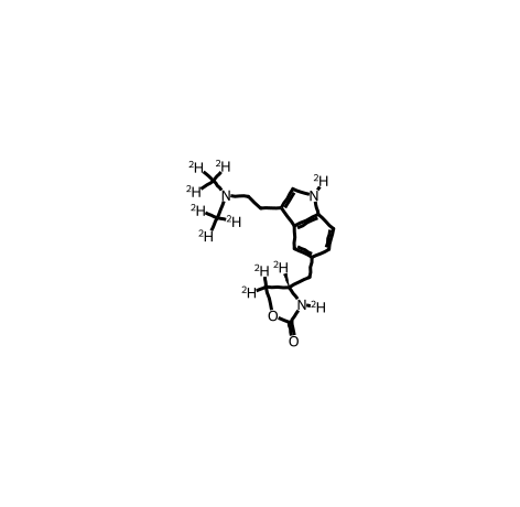 [2H]N1C(=O)OC([2H])([2H])[C@]1([2H])Cc1ccc2c(c1)c(CCN(C([2H])([2H])[2H])C([2H])([2H])[2H])cn2[2H]